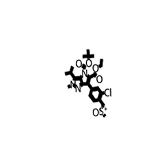 CCOC(=O)c1c(-c2ccc(C[S+](C)[O-])c(Cl)c2)c2nn(C)c(C(C)C)c2n1C(=O)OC(C)(C)C